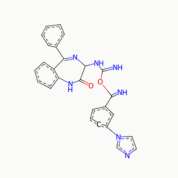 N=C(NC1N=C(c2ccccc2)c2ccccc2NC1=O)OC(=N)c1cccc(-n2ccnc2)c1